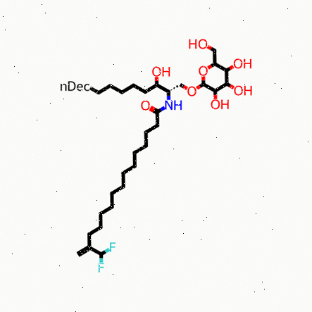 C=C(CCCCCCCCCCCCC(=O)N[C@@H](COC1OC(CO)C(O)C(O)C1O)C(O)CCCCCCCCCCCCCCC)C(F)F